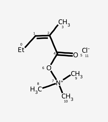 CCC=C(C)C(=O)O[N+](C)(C)C.[Cl-]